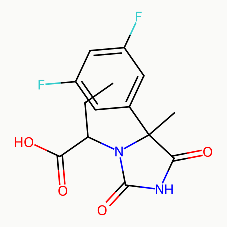 CCC(C(=O)O)N1C(=O)NC(=O)C1(C)c1cc(F)cc(F)c1